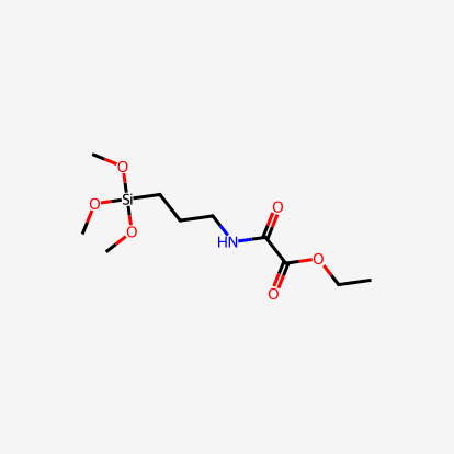 CCOC(=O)C(=O)NCCC[Si](OC)(OC)OC